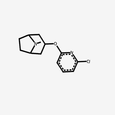 CN1C2CCC1CC(Oc1cccc(Cl)n1)C2